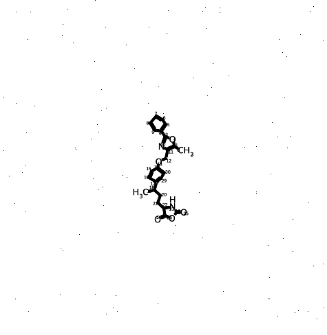 Cc1oc(-c2ccccc2)nc1COc1ccc(C(C)CCC2NC(=O)OC2=O)cc1